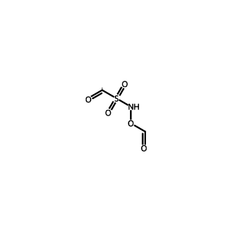 O=[C]S(=O)(=O)NOC=O